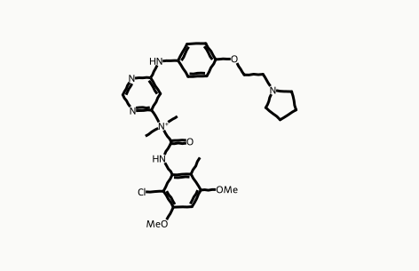 COc1cc(OC)c(Cl)c(NC(=O)[N+](C)(C)c2cc(Nc3ccc(OCCN4CCCC4)cc3)ncn2)c1C